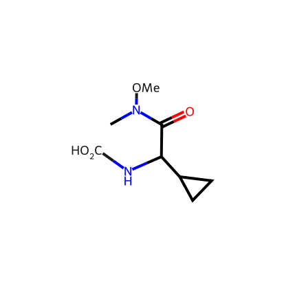 CON(C)C(=O)C(NC(=O)O)C1CC1